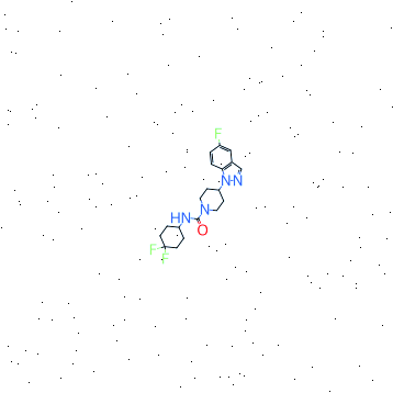 O=C(NC1CCC(F)(F)CC1)N1CCC(n2ncc3cc(F)ccc32)CC1